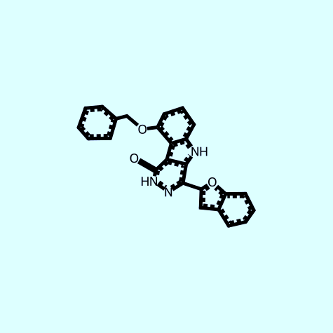 O=c1[nH]nc(-c2cc3ccccc3o2)c2[nH]c3cccc(OCc4ccccc4)c3c12